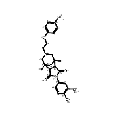 C[C@]12CN(CCOc3ccc(N)cc3)C[C@](C)(O1)C1C(=O)N(c3ccc(C#N)c(C(F)(F)F)c3)C(=O)C12